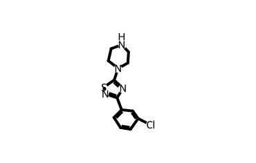 Clc1cccc(-c2nsc(N3CCNCC3)n2)c1